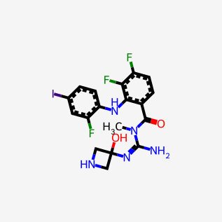 CN(C(=O)c1ccc(F)c(F)c1Nc1ccc(I)cc1F)C(N)=NC1(O)CNC1